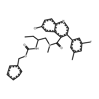 CCC(CN(C)C(=O)c1c(-c2cc(C)cc(F)c2)cnc2ccc(Cl)cc12)NC(=O)OCc1ccccc1